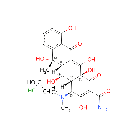 CC(=O)O.CN(C)[C@@H]1C(O)=C(C(N)=O)C(=O)[C@@]2(O)C(O)=C3C(=O)c4c(O)cccc4[C@@](C)(O)[C@H]3[C@H](O)[C@@H]12.Cl